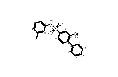 Cc1cccc(NS(=O)(=O)c2ccc(-c3ccccc3)c(Br)c2)c1